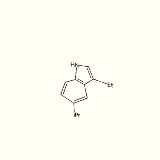 CCc1c[nH]c2ccc(C(C)C)cc12